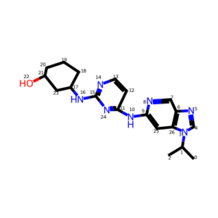 CC(C)n1cnc2cnc(Nc3ccnc(NC4CCCC(O)C4)n3)cc21